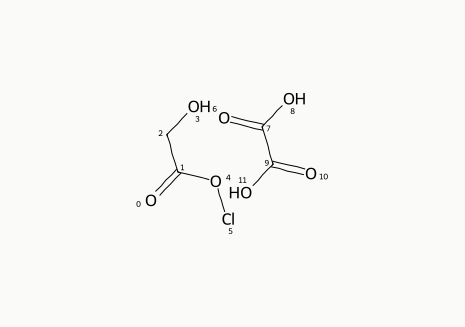 O=C(CO)OCl.O=C(O)C(=O)O